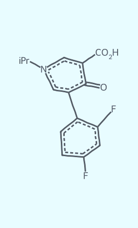 CC(C)n1cc(C(=O)O)c(=O)c(-c2ccc(F)cc2F)c1